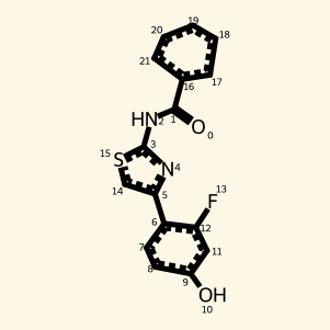 O=C(Nc1nc(-c2ccc(O)cc2F)cs1)c1ccccc1